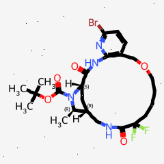 C[C@@H]1[C@H]2CNC(=O)C(F)(F)CCCCOCc3ccc(Br)nc3NC(=O)[C@H](C2)N1C(=O)OC(C)(C)C